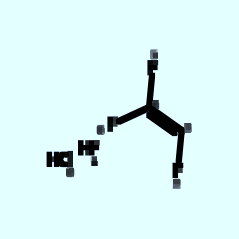 Cl.F.FC=C(F)F